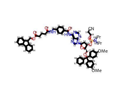 COc1ccc(C(OC[C@H]2OC(n3cnc4c(NC(=O)c5ccc(CNC(=O)CCCC(=O)OCC6c7ccccc7-c7ccccc76)cc5)ncnc43)C[C@H]2OP(OCCC#N)N(C(C)C)C(C)C)(c2ccccc2)c2ccc(OC)cc2)cc1